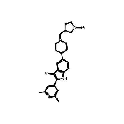 Cc1cc(-c2[nH]c3ccc(C4CCN(CC5CCN(C(C)C)C5)CC4)cc3c2C(C)C)cc(C)n1